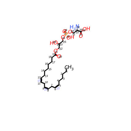 CCCCC/C=C\C/C=C\C/C=C\CCCCCCC(=O)OC[C@@H](O)COP(=O)(O)OC[C@H](N)C(=O)O